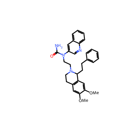 COc1cc2c(cc1OC)C(CCc1ccccc1)N(CCN(C(N)=O)c1cnc3ccccc3c1)CC2